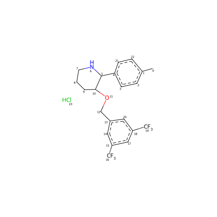 Cc1ccc(C2NCCCC2OCc2cc(C(F)(F)F)cc(C(F)(F)F)c2)cc1.Cl